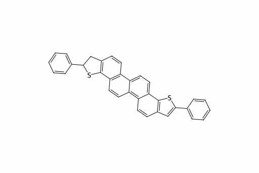 c1ccc(-c2cc3ccc4c5ccc6c7c(ccc6c5ccc4c3s2)CC(c2ccccc2)S7)cc1